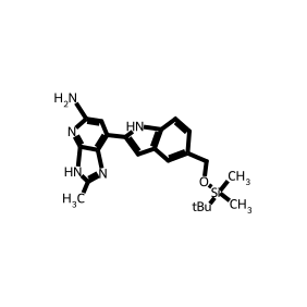 Cc1nc2c(-c3cc4cc(CO[Si](C)(C)C(C)(C)C)ccc4[nH]3)cc(N)nc2[nH]1